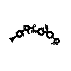 Cc1c(C(=O)Nc2ccc(C3(C#N)CCN([C@H]4CCO[C@H]4C)CC3)nc2)cnn1-c1ccc(C2CC2)cn1